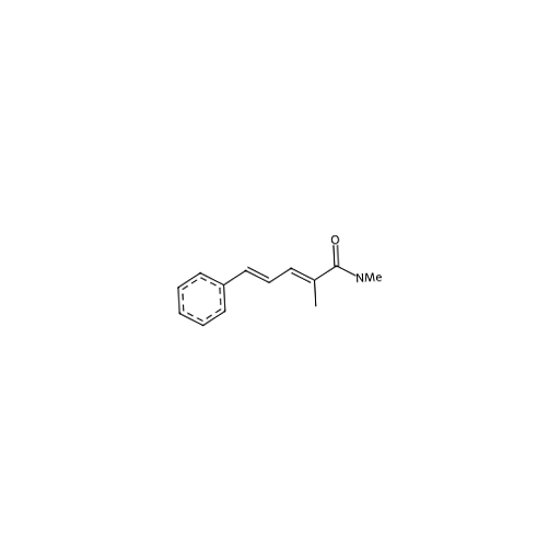 CNC(=O)/C(C)=C/C=C/c1ccccc1